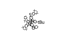 CC(C)(C)c1ccc(N2B3c4cc5c(cc4-n4c6cc7c(cc6c6c8c(c(c3c64)-c3cc4sc6cc9c(cc6c4cc32)C(C)(C)CCC9(C)C)-c2ccccc2C8(C)C)C(C)(C)CCC7(C)C)oc2ccccc25)cc1